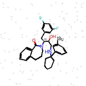 CC(C)(C)c1cccc(C2(NCC(O)[C@H](Cc3cc(F)cc(F)c3)N3CCCc4ccccc4C3=O)CCCCC2)c1